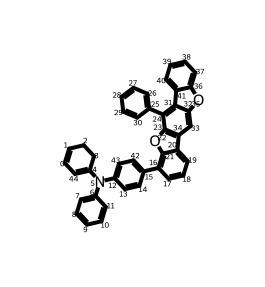 C1=CCCC(N(c2ccccc2)c2ccc(-c3cccc4c3oc3c(-c5ccccc5)c5c(cc34)oc3ccccc35)cc2)=C1